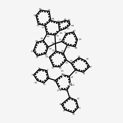 c1ccc(-c2nc(-c3ccccc3)nc(-c3ccccc3-c3cccc4c3-c3ccccc3C43c4ccccc4-c4c3c3ccccc3c3ccccc43)n2)cc1